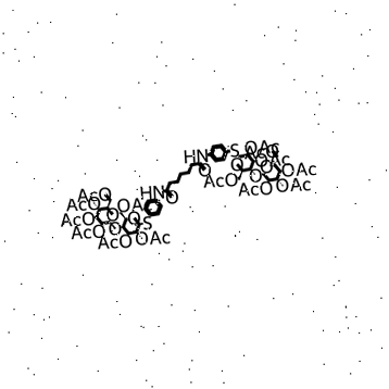 CC(=O)OC[C@H]1O[C@@H](Sc2ccc(NC(=O)CCCCCC(=O)Nc3ccc(S[C@@H]4O[C@H](COC(C)=O)[C@@H](O[C@@H]5O[C@H](COC(C)=O)[C@@H](OC(C)=O)[C@H](OC(C)=O)[C@H]5OC(C)=O)[C@H](OC(C)=O)[C@H]4OC(C)=O)cc3)cc2)[C@H](OC(C)=O)[C@@H](OC(C)=O)[C@@H]1O[C@@H]1O[C@H](COC(C)=O)[C@@H](OC(C)=O)[C@H](OC(C)=O)[C@H]1OC(C)=O